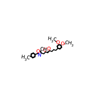 CCOc1ccc(CCCC(=O)CC(=O)Cc2nc(-c3ccc(C)cc3)oc2C)cc1OCC